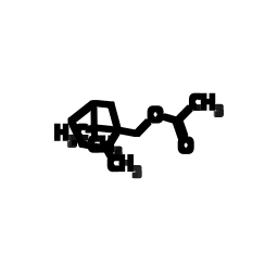 CC(=O)OCC12CC(CCC1C)C2(C)C